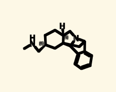 CNC[C@H]1CC[C@@H]2CN3C4CC2(C1)C3c1ccccc14